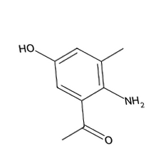 CC(=O)c1cc(O)cc(C)c1N